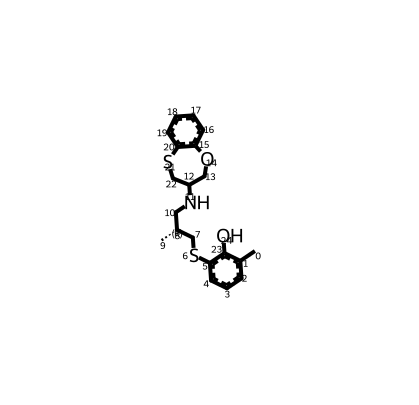 Cc1cccc(SC[C@H](C)CNC2COc3ccccc3SC2)c1O